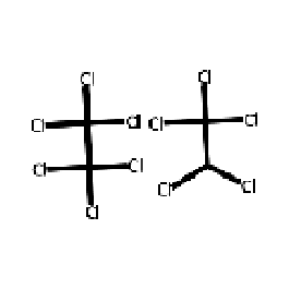 ClC(Cl)(Cl)C(Cl)(Cl)Cl.ClC(Cl)C(Cl)(Cl)Cl